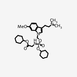 COc1ccc2c(CCN(C)C)cn(COP(=O)(NCC(=O)OC3CCCCC3)OC3CCCCC3)c2c1